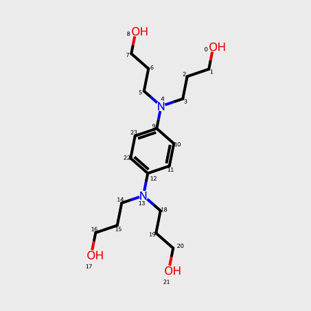 OCCCN(CCCO)c1ccc(N(CCCO)CCCO)cc1